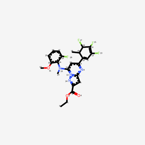 CCOC(=O)c1cc2nc(C3=CC(F)=C(F)C(F)C3C)cc(N(C)c3c(F)cccc3OC)n2n1